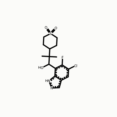 CC(C)(C1CCS(=O)(=O)CC1)C(O)c1c(F)c(Cl)cc2cn[nH]c12